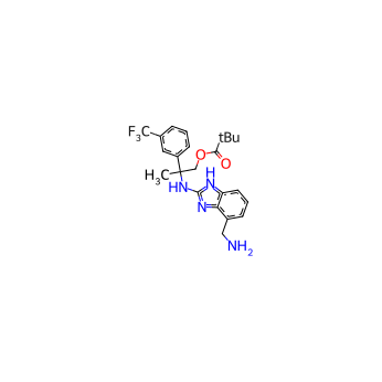 CC(C)(C)C(=O)OCC(C)(Nc1nc2c(CN)cccc2[nH]1)c1cccc(C(F)(F)F)c1